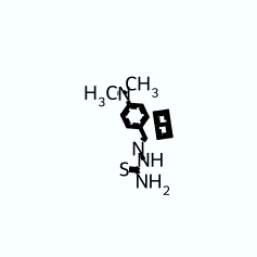 CN(C)c1ccc(C=NNC(N)=S)cc1.c1cc2ccc1-2